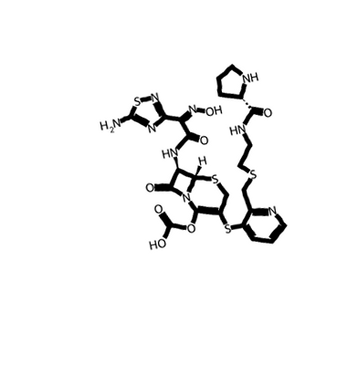 Nc1nc(/C(=N/O)C(=O)N[C@@H]2C(=O)N3C(OC(=O)O)=C(Sc4cccnc4CSCCNC(=O)[C@@H]4CCCN4)CS[C@@H]23)ns1